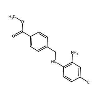 COC(=O)c1ccc(CNc2ccc(Cl)cc2N)cc1